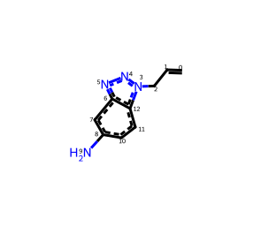 C=CCn1nnc2cc(N)ccc21